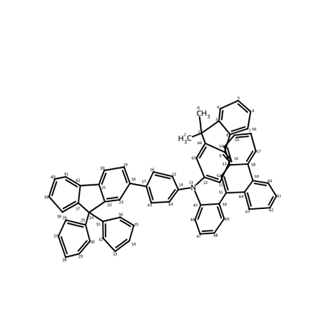 CC1(C)c2ccccc2-c2ccc(N(c3ccc(-c4ccc5c(c4)C(c4ccccc4)(c4ccccc4)c4ccccc4-5)cc3)c3ccccc3-c3cc4ccccc4c4ccccc34)cc21